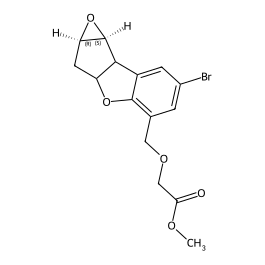 COC(=O)COCc1cc(Br)cc2c1OC1C[C@H]3O[C@H]3C21